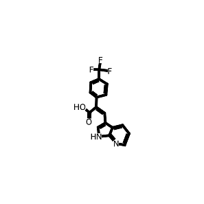 O=C(O)C(=Cc1c[nH]c2ncccc12)c1ccc(C(F)(F)F)cc1